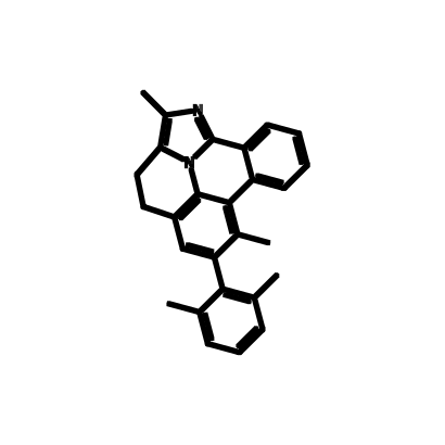 Cc1cccc(C)c1-c1cc2c3c(c1C)c1ccccc1c1nc(C)c(n13)CC2